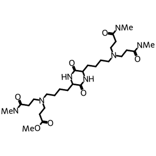 CNC(=O)CCN(CCCCC1NC(=O)C(CCCCN(CCC(=O)NC)CCC(=O)OC)NC1=O)CCC(=O)NC